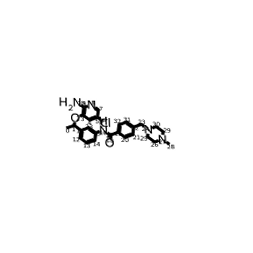 CC(Oc1cc(Cl)cnc1N)c1cccc(NC(=O)c2ccc(CN3CCN(C)CC3)cc2)c1